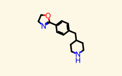 c1cc(C2=NCCO2)ccc1CC1CCNCC1